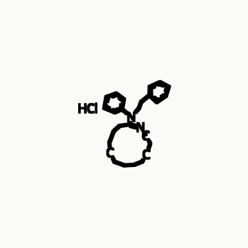 Cl.c1ccc(CCN(C2=NCCCCCCCCCCC2)c2ccccc2)cc1